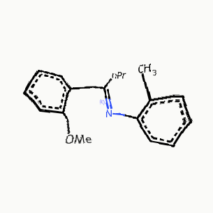 CCC/C(=N\c1ccccc1C)c1ccccc1OC